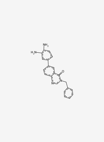 Nc1ccc(-c2ccc3ncn(Cc4ccccc4)c(=O)c3c2)cc1N